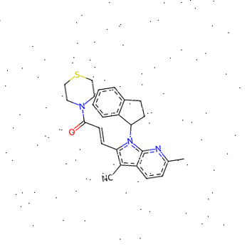 Cc1ccc2c(C#N)c(C=CC(=O)N3CCSCC3)n(C3CCc4ccccc43)c2n1